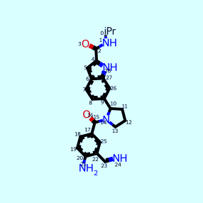 CC(C)NC(=O)c1cc2ccc(C3CCCN3C(=O)c3ccc(N)c(C=N)c3)cc2[nH]1